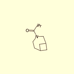 CC(C)C(=O)N1CCC2CC(C2)C1